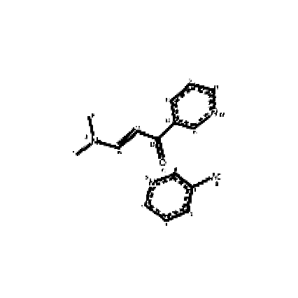 CC(=O)c1cccnc1.CN(C)/C=C/C(=O)c1cccnc1